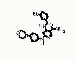 CCc1cccc(CNc2cc(Nc3ccc(N4CCOCC4)cc3)ncc2C(N)=O)c1